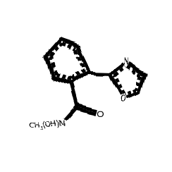 CN(O)C(=O)c1ccccc1-c1ncco1